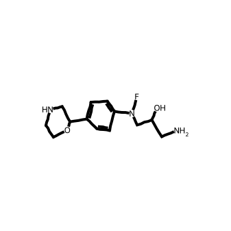 NCC(O)CN(F)c1ccc(C2CNCCO2)cc1